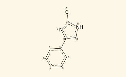 Clc1nc(-c2ccccc2)c[nH]1